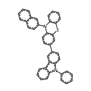 c1ccc(-n2c3ccccc3c3cc(-c4ccc5c(c4)Sc4ccccc4N5c4ccc5ccccc5c4)ccc32)cc1